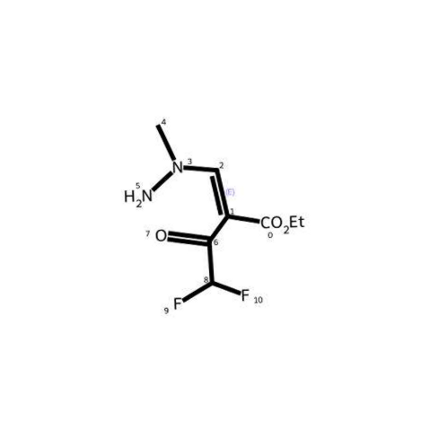 CCOC(=O)/C(=C/N(C)N)C(=O)C(F)F